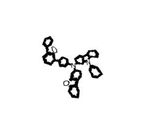 c1ccc(-n2c3ccccc3c3ccc(N(c4ccc(-c5cccc6c5oc5ccccc56)cc4)c4ccc5c(c4)oc4ccccc45)cc32)cc1